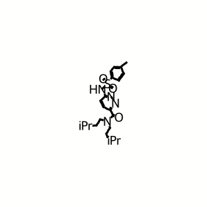 Cc1ccc(S(=O)(=O)Nc2ccc(C(=O)N(CCC(C)C)CCC(C)C)nn2)cc1